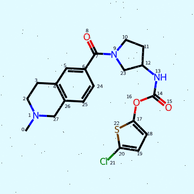 CN1CCc2cc(C(=O)N3CCC(NC(=O)Oc4ccc(Cl)s4)C3)ccc2C1